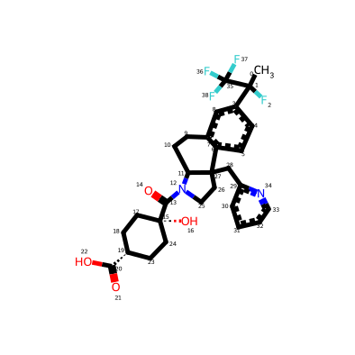 CC(F)(c1ccc2c(c1)CCC1N(C(=O)[C@]3(O)CC[C@@H](C(=O)O)CC3)CCC21Cc1ccccn1)C(F)(F)F